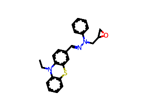 CCN1c2ccccc2Sc2cc(C=NN(CC3CO3)c3ccccc3)ccc21